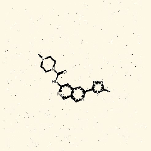 Cc1nnc(-c2cc3cc(NC(=O)N4CCN(C)CC4)ncc3cn2)s1